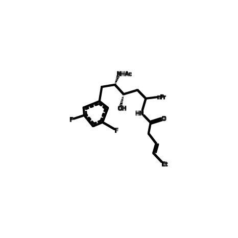 CC/C=C/CC(=O)NC(CCC)C[C@H](O)[C@H](Cc1cc(F)cc(F)c1)NC(C)=O